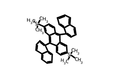 C[Si](C)(C)c1ccc2c(-c3cccc4ccccc34)c3cc([Si](C)(C)C)ccc3c(-c3cccc4ccccc34)c2c1